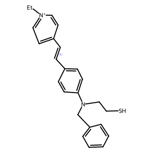 CC[n+]1ccc(/C=C/c2ccc(N(CCS)Cc3ccccc3)cc2)cc1